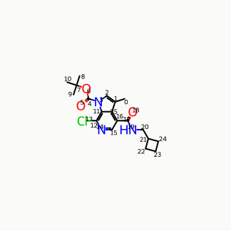 Cc1cn(C(=O)OC(C)(C)C)c2c(Cl)ncc(C(=O)NCC3CCC3)c12